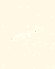 C=C[C@H]1CC[C@H](CCC2CCC(CCc3ccc(COCCC)cc3)CC2)CC1